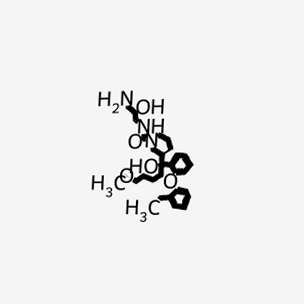 CCc1ccccc1Oc1ccccc1[C@](O)(CCCCOC)[C@@H]1CCCN(C(=O)NC[C@@H](O)CN)C1